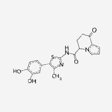 Cc1nc(NC(=O)C2CCC(=O)c3cccn32)sc1-c1ccc(O)c(O)c1